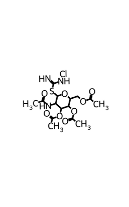 CC(=O)NC1C(SC(=N)NCl)OC(COC(C)=O)C(OC(C)=O)C1OC(C)=O